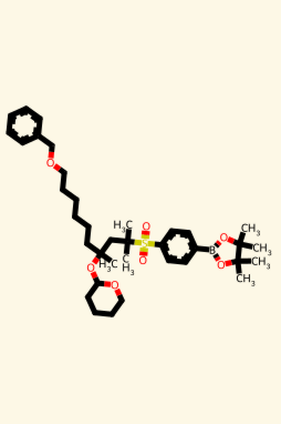 CC(CCCCCCOCc1ccccc1)(CC(C)(C)S(=O)(=O)c1ccc(B2OC(C)(C)C(C)(C)O2)cc1)OC1CCCCO1